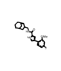 COc1cc(F)ccc1-c1c[nH]c(C(=O)NCC2C=C3CCCC(C3)C2)c1